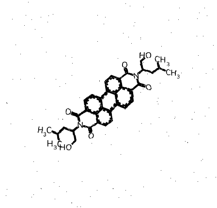 CC(C)CC(CO)N1C(=O)c2ccc3c4ccc5c6c(ccc(c7ccc(c2c37)C1=O)c64)C(=O)N(C(CO)CC(C)C)C5=O